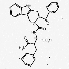 NC(=O)C(Cc1ccccc1)[C@H](NC(=O)[C@H]1Cc2c([nH]c3ccccc23)CN1C(=O)c1ccccc1)C(=O)O